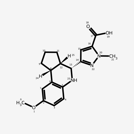 COc1ccc2c(c1)[C@@H]1CCC[C@@H]1[C@H](c1cc(C(=O)O)n(C)n1)N2